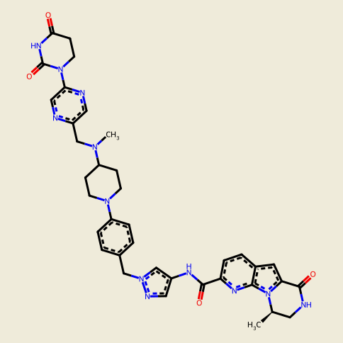 C[C@@H]1CNC(=O)c2cc3ccc(C(=O)Nc4cnn(Cc5ccc(N6CCC(N(C)Cc7cnc(N8CCC(=O)NC8=O)cn7)CC6)cc5)c4)nc3n21